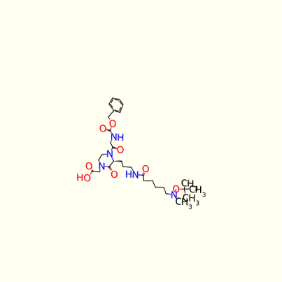 CN(CCCCCC(=O)NCCC[C@H]1C(=O)N(CC(=O)O)CCN1C(=O)CNC(=O)OCc1ccccc1)OC(C)(C)C